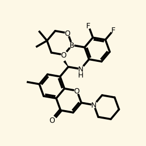 Cc1cc([C@@H](C)Nc2ccc(F)c(F)c2B2OCC(C)(C)CO2)c2oc(N3CCCCC3)cc(=O)c2c1